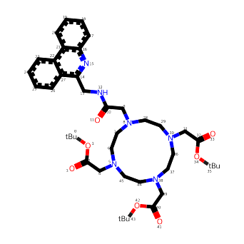 CC(C)(C)OC(=O)CN1CCN(CC(=O)NCc2nc3ccccc3c3ccccc23)CCN(CC(=O)OC(C)(C)C)CCN(CC(=O)OC(C)(C)C)CC1